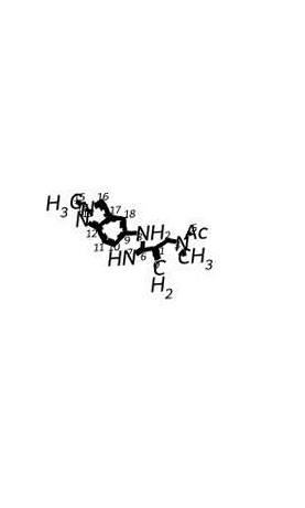 C=C(CN(C)C(C)=O)C(=N)Nc1ccc2nn(C)cc2c1